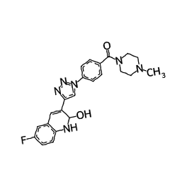 CN1CCN(C(=O)c2ccc(-n3cc(C4=Cc5cc(F)ccc5NC4O)nn3)cc2)CC1